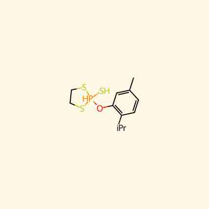 Cc1ccc(C(C)C)c(O[PH]2(S)SCCS2)c1